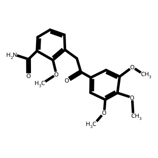 COc1cc(C(=O)Cc2cccc(C(N)=O)c2OC)cc(OC)c1OC